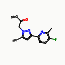 CCCc1cc(-c2ccc(F)c(C)n2)nn1CC(=O)OC